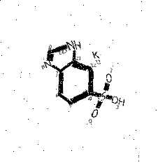 O=S(=O)(O)c1ccc2nc[nH]c2c1.[K]